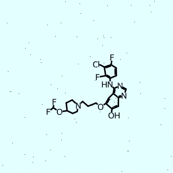 Oc1cc2ncnc(Nc3ccc(F)c(Cl)c3F)c2cc1OCCCN1CCC(OC(F)F)CC1